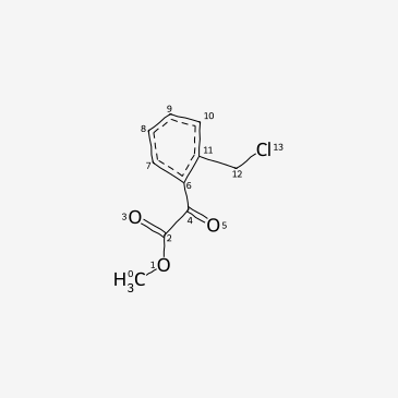 COC(=O)C(=O)c1ccccc1CCl